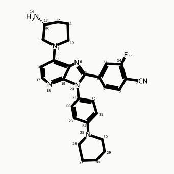 N#Cc1ccc(-c2nc3c(N4CCC[C@@H](N)C4)ccnc3n2-c2ccc(N3CCCCC3)cc2)cc1F